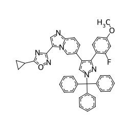 COc1ccc(-c2nn(C(c3ccccc3)(c3ccccc3)c3ccccc3)cc2-c2ccc3ncc(-c4noc(C5CC5)n4)n3c2)c(F)c1